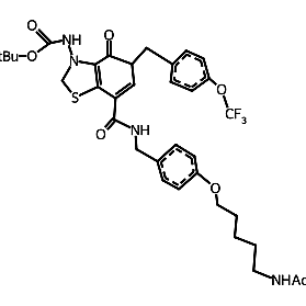 CC(=O)NCCCCCOc1ccc(CNC(=O)C2=CC(Cc3ccc(OC(F)(F)F)cc3)C(=O)C3=C2SCN3NC(=O)OC(C)(C)C)cc1